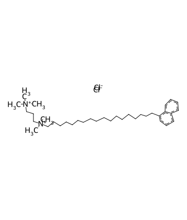 C[N+](C)(C)CCC[N+](C)(C)CCCCCCCCCCCCCCCCCCc1cccc2ccccc12.[Cl-].[Cl-]